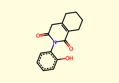 O=C1CC2=C(CCCC2)C(=O)N1c1ccccc1O